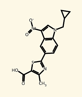 Cc1nc(-c2ccc3c(c2)c([N+](=O)[O-])cn3CC2CC2)sc1C(=O)O